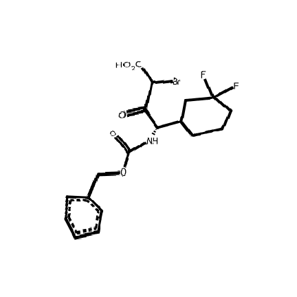 O=C(N[C@H](C(=O)C(Br)C(=O)O)C1CCCC(F)(F)C1)OCc1ccccc1